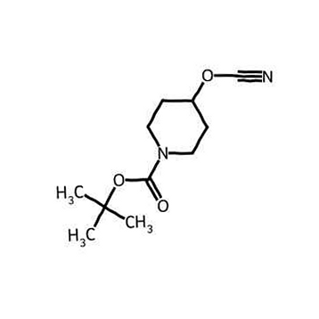 CC(C)(C)OC(=O)N1CCC(OC#N)CC1